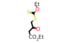 CCOC(=O)CC(=O)CSC(=S)OCC